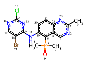 Cc1ncc2c(P(C)(C)=O)c(Nc3nc(Cl)ncc3Br)ccc2n1